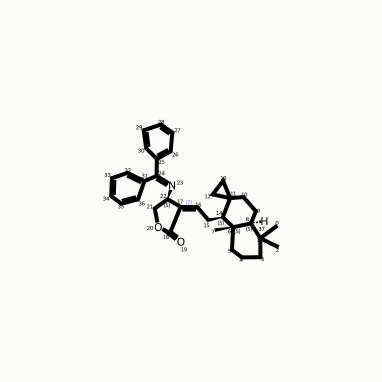 CC1(C)CCC[C@@]2(C)[C@H]1CCC1(CC1)[C@@H]2C/C=C1\C(=O)OC[C@H]1N=C(c1ccccc1)c1ccccc1